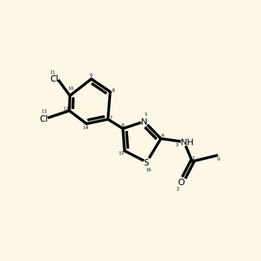 CC(=O)Nc1nc(-c2ccc(Cl)c(Cl)c2)cs1